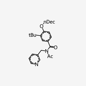 CCCCCCCCCCOc1ccc(C(=O)N(Cc2cccnc2)C(C)=O)cc1C(C)(C)C